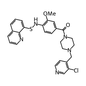 COc1cc(C(=O)N2CCN(Cc3ccncc3Cl)CC2)ccc1NSc1cccc2cccnc12